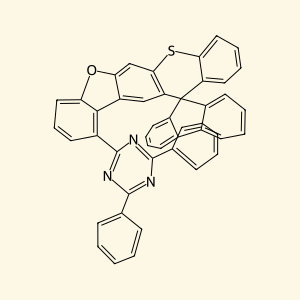 c1ccc(-c2nc(-c3ccccc3)nc(-c3cccc4oc5cc6c(cc5c34)C3(c4ccccc4S6)c4ccccc4-c4ccccc43)n2)cc1